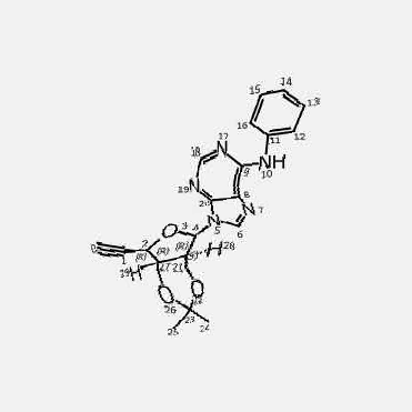 C#C[C@H]1O[C@@H](n2cnc3c(Nc4ccccc4)ncnc32)[C@H]2OC(C)(C)O[C@@H]21